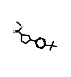 COC(=O)C1CCC(c2ccc(C(C)(C)C)cc2)C1